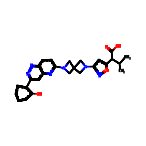 CC(C)C(C(=O)O)c1cc(N2CC3(C2)CN(c2ccc4nnc(-c5ccccc5O)cc4n2)C3)no1